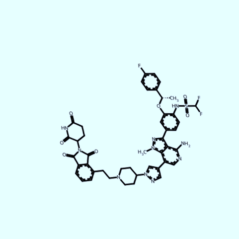 C[C@H](Oc1cc(-c2nn(C)c3c(-c4cnn(C5CCN(CCc6cccc7c6C(=O)N(C6CCC(=O)NC6=O)C7=O)CC5)c4)cnc(N)c23)ccc1NS(=O)(=O)C(F)F)c1ccc(F)cc1